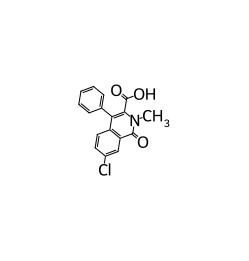 Cn1c(C(=O)O)c(-c2ccccc2)c2ccc(Cl)cc2c1=O